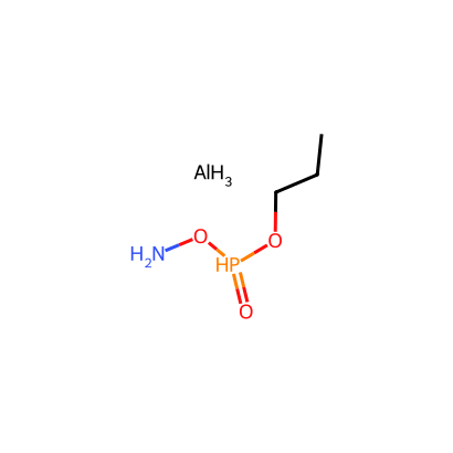 CCCO[PH](=O)ON.[AlH3]